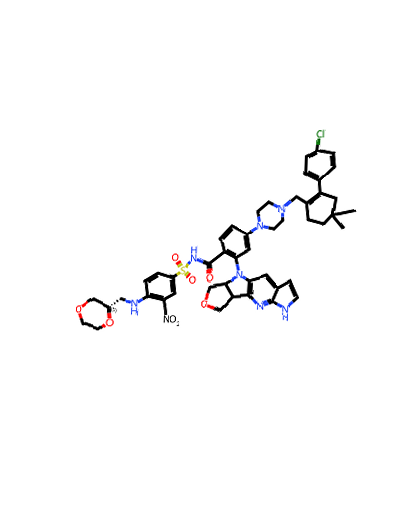 CC1(C)CCC(CN2CCN(c3ccc(C(=O)NS(=O)(=O)c4ccc(NC[C@H]5COCCO5)c([N+](=O)[O-])c4)c(N4c5cc6cc[nH]c6nc5C5COCC54)c3)CC2)=C(c2ccc(Cl)cc2)C1